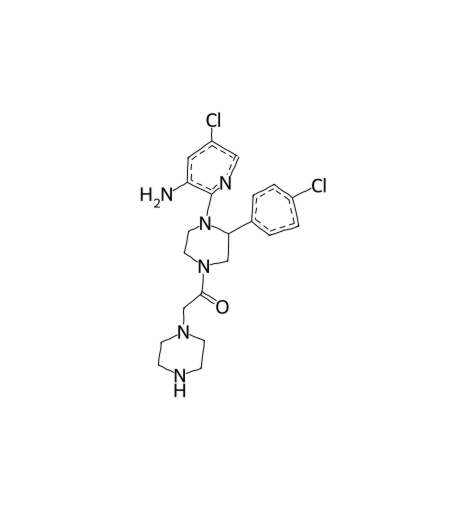 Nc1cc(Cl)cnc1N1CCN(C(=O)CN2CCNCC2)CC1c1ccc(Cl)cc1